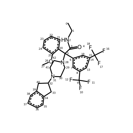 CCNC(=O)C(c1cc(C(F)(F)F)cc(C(F)(F)F)c1)(c1ccccc1OC)N1CCN(C2Cc3ccccc3C2)CC1